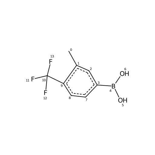 Cc1cc(B(O)O)ccc1C(F)(F)F